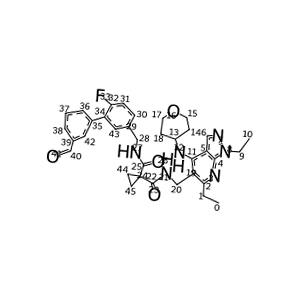 CCc1nc2c(cnn2CC)c(NC2CCOCC2)c1CNC(=O)C1(C(=O)NCc2ccc(F)c(-c3cccc(C=O)c3)c2)CC1